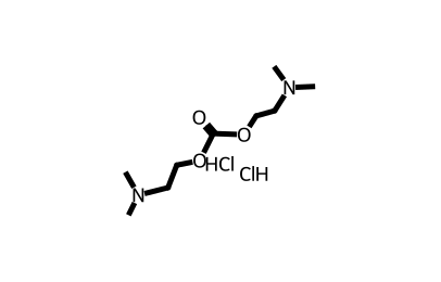 CN(C)CCOC(=O)OCCN(C)C.Cl.Cl